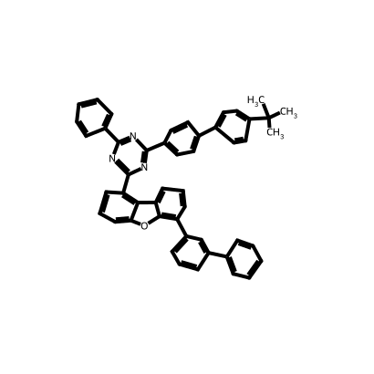 CC(C)(C)c1ccc(-c2ccc(-c3nc(-c4ccccc4)nc(-c4cccc5oc6c(-c7cccc(-c8ccccc8)c7)cccc6c45)n3)cc2)cc1